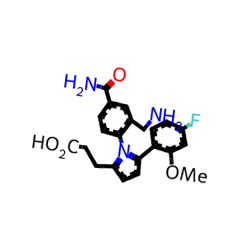 COc1cc(F)ccc1-c1ccc(CCC(=O)O)n1-c1ccc(C(N)=O)cc1CN